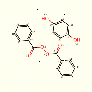 O=C(OOC(=O)c1ccccc1)c1ccccc1.Oc1ccc(O)cc1